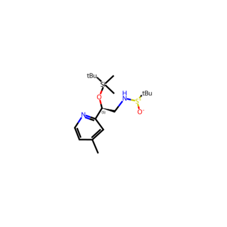 Cc1ccnc([C@H](CN[S+]([O-])C(C)(C)C)O[Si](C)(C)C(C)(C)C)c1